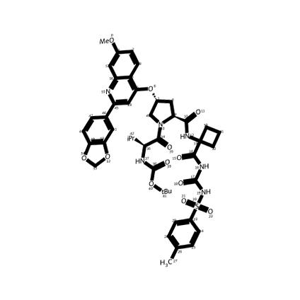 COc1ccc2c(O[C@@H]3C[C@@H](C(=O)NC4(C(=O)NC(=O)NS(=O)(=O)c5ccc(C)cc5)CCC4)N(C(=O)[C@@H](NC(=O)OC(C)(C)C)C(C)C)C3)cc(-c3ccc4c(c3)OCO4)nc2c1